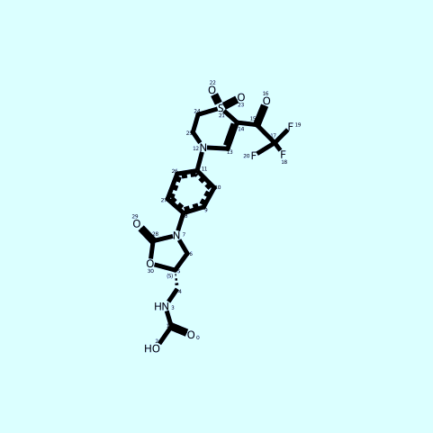 O=C(O)NC[C@H]1CN(c2ccc(N3C=C(C(=O)C(F)(F)F)S(=O)(=O)CC3)cc2)C(=O)O1